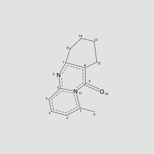 Cc1cccc2nc3c(c(=O)n12)CCCC3